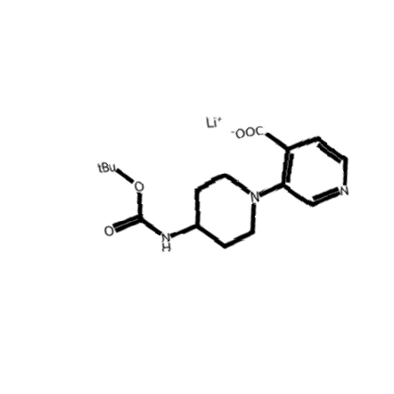 CC(C)(C)OC(=O)NC1CCN(c2cnccc2C(=O)[O-])CC1.[Li+]